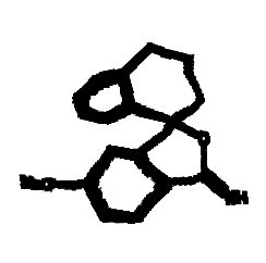 COc1ccc2c(c1)C1(CCCc3ccccc31)OC2=N